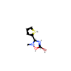 CN1OC(Br)=NC1c1cccs1